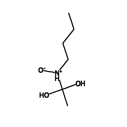 CCCC[NH+]([O-])C(C)(O)O